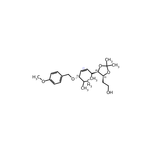 COc1ccc(CO[C@H](/C=C\C(C)[C@H]2OC(C)(C)O[C@H]2CCO)C(C)C)cc1